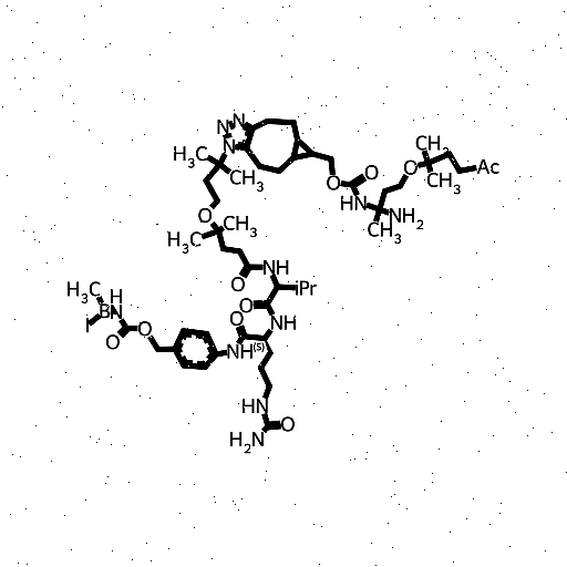 CB(I)NC(=O)OCc1ccc(NC(=O)[C@H](CCCNC(N)=O)NC(=O)C(NC(=O)CCC(C)(C)OCCC(C)(C)n2nnc3c2CCC2C(CC3)C2COC(=O)NC(C)(N)CCOC(C)(C)CCC(C)=O)C(C)C)cc1